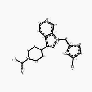 O=C(O)N1CCC(c2cn(Cc3ccc(Cl)s3)c3cnccc23)CC1